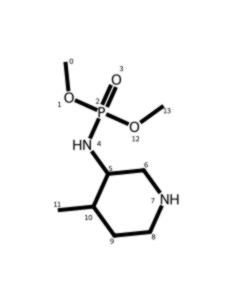 COP(=O)(NC1CNCCC1C)OC